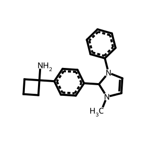 CN1C=CN(c2ccccc2)C1c1ccc(C2(N)CCC2)cc1